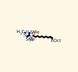 CCCCCCCC/C=C\CCCCCCCC(=O)Nc1c(SC)nc(C)nc1SC